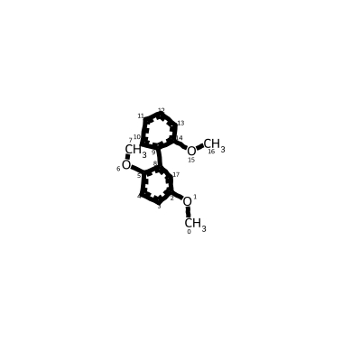 COc1ccc(OC)c(-c2ccccc2OC)c1